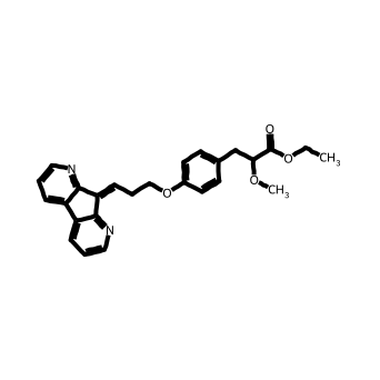 CCOC(=O)C(Cc1ccc(OCCC=C2c3ncccc3-c3cccnc32)cc1)OC